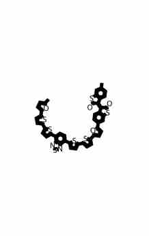 Cc1ccc2c(c1)SC(=O)/C2=C1/C(=O)Sc2cc(-c3ccc(-c4ccc(-c5ccc(-c6ccc(-c7ccc(-c8ccc(-c9ccc(C)o9)s8)s7)c7nsnc67)s5)s4)o3)ccc21